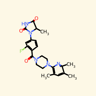 Cc1cc(C)c(N2CCN(C(=O)c3ccc(N4C(=O)NC(=O)C4C)cc3F)CC2)nc1C